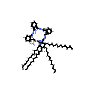 CCCCCCCCCCCCc1c(CCCCCCCCCCCC)c(CCCCCCCCCCCC)c2c3nc4nc(nc5[nH]c(nc6nc(nc([nH]3)c2c1CCCCCCCCCCCC)-c1ccccc1-6)c1ccccc51)-c1cccc(N)c1-4